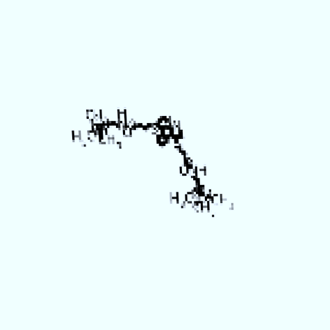 CCO[Si](CCCCNC(=O)OCCCCSc1ccnc2c3nccc(SCCCCOC(=O)NCCCC[Si](OCC)(OCC)OCC)c3c3ccccc3c12)(OCC)OCC